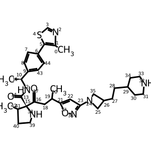 Cc1ncsc1-c1ccc([C@H](C)NC(=O)[C@@]2(C(=O)CC(C)c3cc(N4CC(CCC5CCNCC5)C4)no3)NCCC2C)cc1